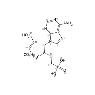 CC(Cn1cnc2c(N)ncnc21)OCP(=O)(O)O.O=C(O)/C=C/C(=O)O